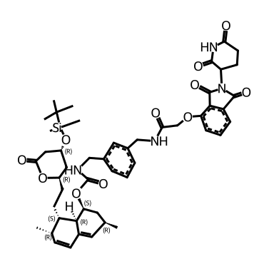 C[C@H]1C=C2C=C[C@H](C)[C@H](CC[C@@H]3C[C@@H](O[Si](C)(C)C(C)(C)C)CC(=O)O3)[C@H]2[C@@H](OC(=O)NCc2cccc(CNC(=O)COc3cccc4c3C(=O)N(C3CCC(=O)NC3=O)C4=O)c2)C1